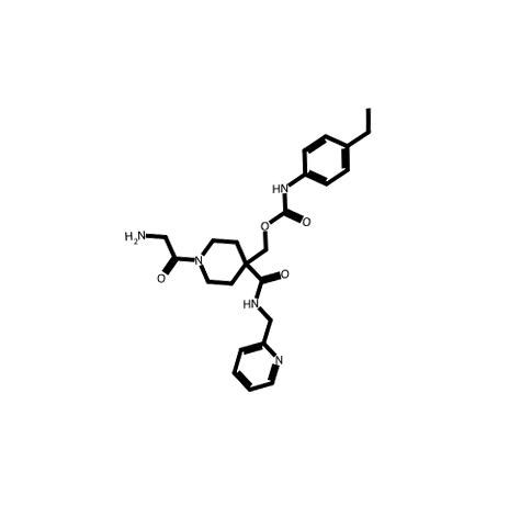 CCc1ccc(NC(=O)OCC2(C(=O)NCc3ccccn3)CCN(C(=O)CN)CC2)cc1